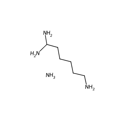 N.NCCCCCC(N)N